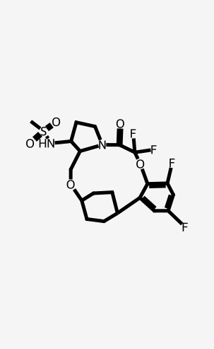 CS(=O)(=O)NC1CCN2C(=O)C(F)(F)Oc3c(F)cc(F)cc3C3CCC(CC3)OCC12